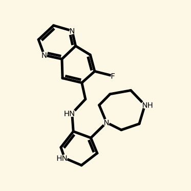 Fc1cc2nccnc2cc1CNC1=CNCC=C1N1CCCNCC1